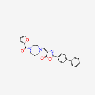 O=C1OC(c2ccc(-c3ccccc3)cc2)=NC1=CN1CCCN(C(=O)c2ccco2)CC1